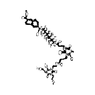 COCCn1c(=O)n(CCO)c(=O)n(CCOC(=O)CCn2c(=O)n(C)c(=O)n(CCC(=O)OC(F)(F)C(F)(F)C(F)(F)C(F)(F)C(F)(F)C(F)(F)OC(=O)c3ccc4cc(C(=O)OC)ccc4c3)c2=O)c1=O